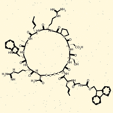 CC=CC[C@H](NC(=O)CNC(=O)OCC1c2ccccc2-c2ccccc21)C(=O)N[C@H]1CCCC[C@@H](C(N)=O)NC(=O)[C@H](CCCNC(=N)N)NC(=O)[C@H](Cc2cc3ccccc3[nH]2)NC(=O)[C@H](C)NC(=O)[C@H](CC=CC)NC(=O)[C@H](CCCNC(=N)N)NC(=O)C2CCCN2C(=O)[C@H](CC(=O)O)NC(=O)[C@H](CO)NC1=O